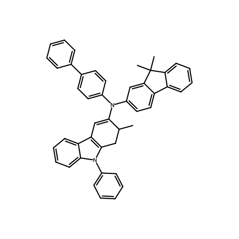 CC1Cc2c(c3ccccc3n2-c2ccccc2)C=C1N(c1ccc(-c2ccccc2)cc1)c1ccc2c(c1)C(C)(C)c1ccccc1-2